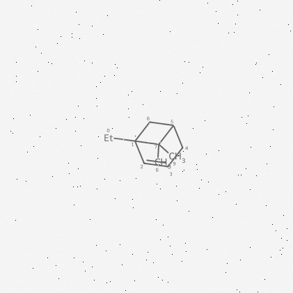 [CH2]CC12C=CCC(C1)C2(C)C